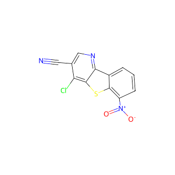 N#Cc1cnc2c(sc3c([N+](=O)[O-])cccc32)c1Cl